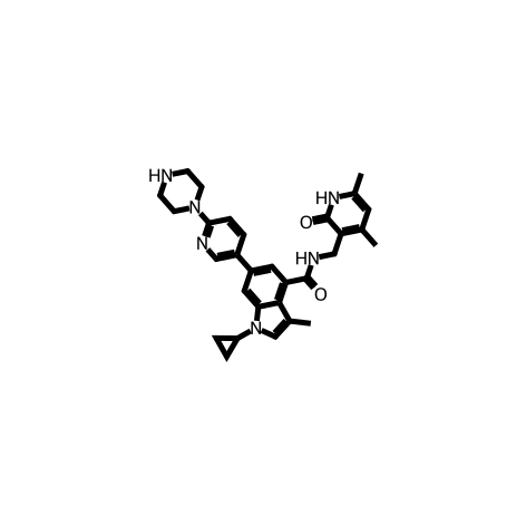 Cc1cc(C)c(CNC(=O)c2cc(-c3ccc(N4CCNCC4)nc3)cc3c2c(C)cn3C2CC2)c(=O)[nH]1